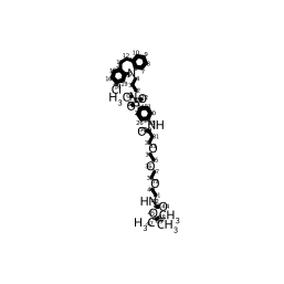 CN(CCCN1c2ccccc2CCc2ccc(Cl)cc21)S(=O)(=O)c1ccc(NC(=O)CCOCCOCCOCCNC(=O)OC(C)(C)C)cc1